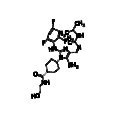 C=C(/N=C\c1nc(Nc2c(F)cc(F)cc2F)n([C@H]2CC[C@@H](C(=O)NCCO)CC2)c1N)NC(C)C